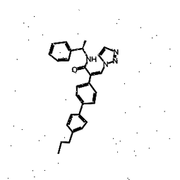 CCCc1ccc(-c2ccc(C(=Cn3ccnn3)C(=O)N[C@H](C)c3ccccc3)cc2)cc1